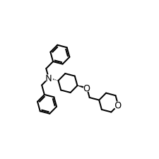 c1ccc(CN(Cc2ccccc2)[C@H]2CC[C@H](OCC3CCOCC3)CC2)cc1